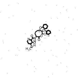 COc1ccnc(C(=O)N[C@H]2CCC[C@H](Oc3ccccc3)[C@@H](Oc3ccccc3)[C@H](C)OC2=O)c1O